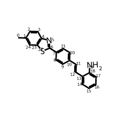 Cc1ccc2nc(-c3ccc(C=Cc4ccccc4N)cc3)sc2c1